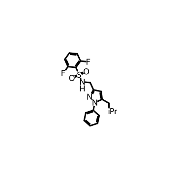 CC(C)Cc1cc(CNS(=O)(=O)c2c(F)cccc2F)nn1-c1ccccc1